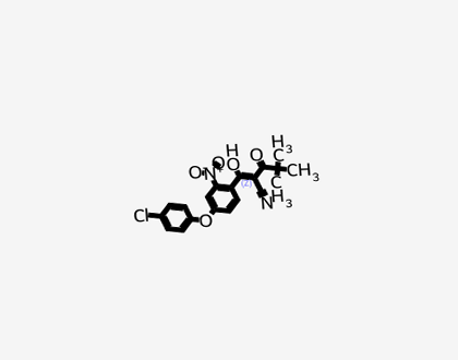 CC(C)(C)C(=O)/C(C#N)=C(\O)c1ccc(Oc2ccc(Cl)cc2)cc1[N+](=O)[O-]